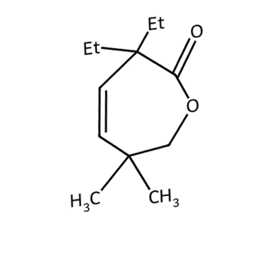 CCC1(CC)C=CC(C)(C)COC1=O